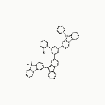 CC1(C)c2ccccc2-c2cc(-n3c4ccccc4c4ccc(-c5cc(-c6ccc7c8ccccc8n(-c8ccccc8)c7c6)cc(-c6ccccc6Br)c5)cc43)ccc21